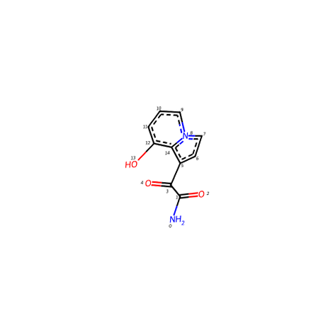 NC(=O)C(=O)c1ccn2cccc(O)c12